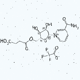 NC(=O)c1ccc[n+]([C@@H]2O[C@H](COC(=O)CCC(=O)O)[C@@H](O)[C@H]2O)c1.O=C([O-])C(F)(F)F